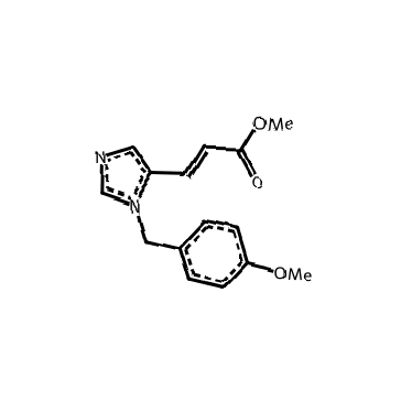 COC(=O)/C=C/c1cncn1Cc1ccc(OC)cc1